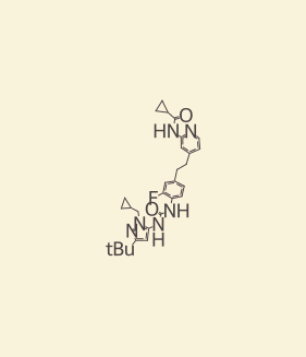 CC(C)(C)c1cc(NC(=O)Nc2ccc(CCc3ccnc(NC(=O)C4CC4)c3)cc2F)n(CC2CC2)n1